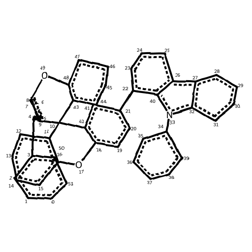 c1ccc(-c2cccc3c2C2(c4ccccc4Oc4ccc(-c5cccc6c7ccccc7n(-c7ccccc7)c56)cc42)c2ccccc2O3)cc1